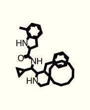 Cc1cccc2c1NC(C(=O)NC(C1CC1)C1NCCC3(CCCCCCCCC3)C1Cc1ccccc1)C2